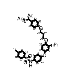 CCCc1cc(Oc2ccc(NS(=O)(=O)c3ccc(C)cc3)cc2)ccc1OCCCOc1ccc(C(SC(C)=O)C(C)=O)cc1